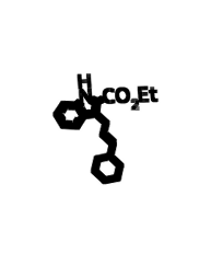 CCOC(=O)c1[nH]c2ccccc2c1CC=CC1CCCCC1